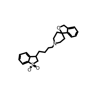 O=S1(=O)CC(CCCCN2CCC3(CC2)OCc2ccccc23)c2ccccc21